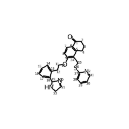 O=C1CCCc2c1ccc(OCCc1ccccc1C1N=CCN1)c2CSc1ccccn1